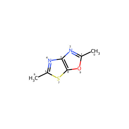 Cc1nc2nc(C)sc2o1